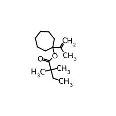 C=C(C)C1(OC(=O)C(C)(C)CC)CCCCCC1